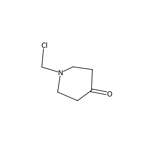 O=C1CCN(CCl)CC1